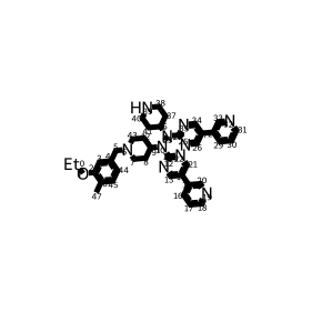 CCOc1cc(CN2CCC(N(c3ncc(-c4cccnc4)cn3)N(c3ncc(-c4cccnc4)cn3)C3CCNCC3)CC2)ccc1C